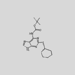 CC(C)(C)OC(=O)Nc1nc(SC2CCCCC2)nc2[nH]cnc12